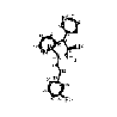 NC(=O)C(c1cccnc1)c1cccnc1NCCc1cccc(F)c1